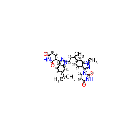 CC(C)c1ccc2c(C3CCC(=O)NC3=O)nn(CCC(C)c3ccc4c(N5CCC(=O)NC5=O)nn(C)c4c3)c2c1